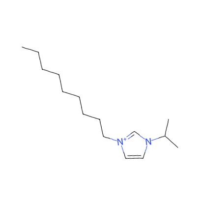 CCCCCCCCC[n+]1ccn(C(C)C)c1